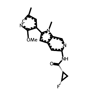 COc1ncc(C)cc1-c1cc2cc(NC(=O)[C@@H]3C[C@@H]3F)ncc2n1C